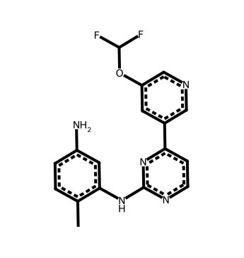 Cc1ccc(N)cc1Nc1nccc(-c2cncc(OC(F)F)c2)n1